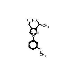 COc1cccc(-n2cc(CO)c(C(C)C)n2)c1